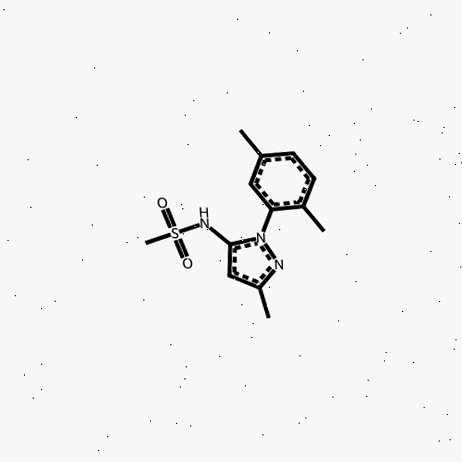 Cc1ccc(C)c(-n2nc(C)cc2NS(C)(=O)=O)c1